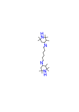 CC1C(N=CCCCCC=NC2CC(C)(C)NC(C)(C)C2C)CC(C)(C)NC1(C)C